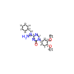 CCOc1ccc(-n2cnc(N(N)Cc3ccccc3)nc2=O)cc1OCC